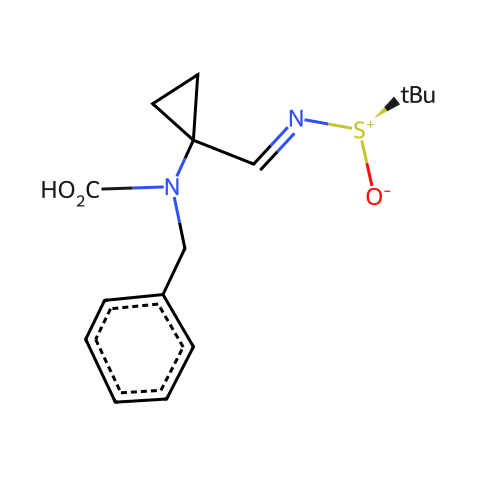 CC(C)(C)[S@@+]([O-])N=CC1(N(Cc2ccccc2)C(=O)O)CC1